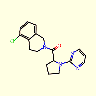 O=C(C1CCCN1c1ncccn1)N1CCc2c(Cl)cccc2C1